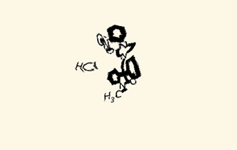 CCN1C(=O)C(CCN2CCN(c3ccccc3[N+](=O)[O-])CC2)(c2ccccc2)c2ccccc21.Cl